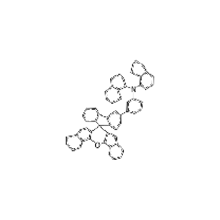 c1cc(-c2ccc3c(c2)-c2ccccc2C32c3ccc4ccccc4c3Oc3c2ccc2ccccc32)cc(N(c2cccc3ccccc23)c2cccc3ccccc23)c1